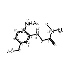 C=C(CNc1nc(CC(C)=O)ccc1NC(C)=O)N(C)CC